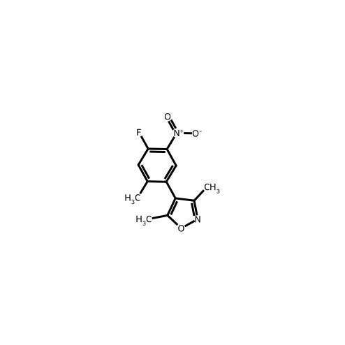 Cc1cc(F)c([N+](=O)[O-])cc1-c1c(C)noc1C